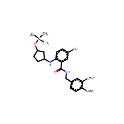 COc1ccc(CNC(=O)c2cc(C#N)ccc2NC2CCC(O[Si](C)(C)C(C)(C)C)C2)cc1OC